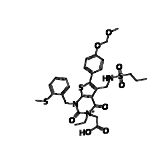 CCCS(=O)(=O)NCc1c(-c2ccc(OCOC)cc2)sc2c1C(=O)[N+](CC)(CC(=O)O)C(=O)N2Cc1ccccc1SC